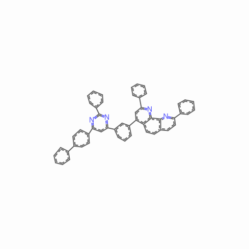 c1ccc(-c2ccc(-c3cc(-c4cccc(-c5cc(-c6ccccc6)nc6c5ccc5ccc(-c7ccccc7)nc56)c4)nc(-c4ccccc4)n3)cc2)cc1